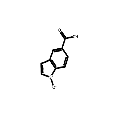 O=C(O)c1ccc2c(cc[s+]2[O-])c1